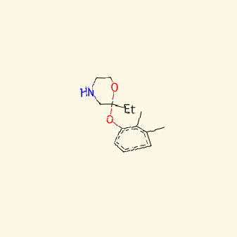 CCC1(Oc2cccc(C)c2C)CNCCO1